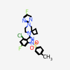 Cc1ccc(S(=O)(=O)n2nc(N3CCN(c4ncc(F)cn4)CC34CCC4)c3c(Cl)cc(F)cc32)cc1